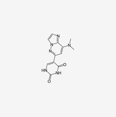 CN(C)c1cc(-c2c[nH]c(=O)[nH]c2=O)nn2ccnc12